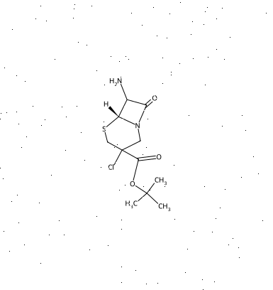 CC(C)(C)OC(=O)C1(Cl)CS[C@@H]2C(N)C(=O)N2C1